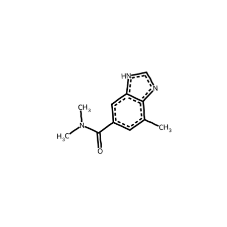 Cc1cc(C(=O)N(C)C)cc2[nH]cnc12